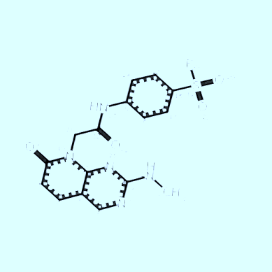 CNc1ncc2ccc(=O)n(CC(=O)Nc3ccc(S(=O)(=O)F)cc3)c2n1